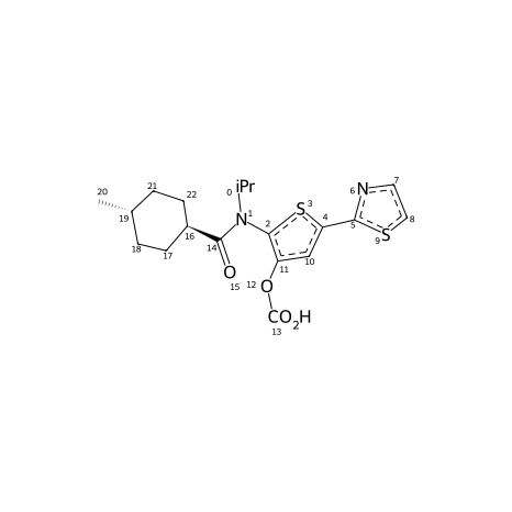 CC(C)N(c1sc(-c2nccs2)cc1OC(=O)O)C(=O)[C@H]1CC[C@H](C)CC1